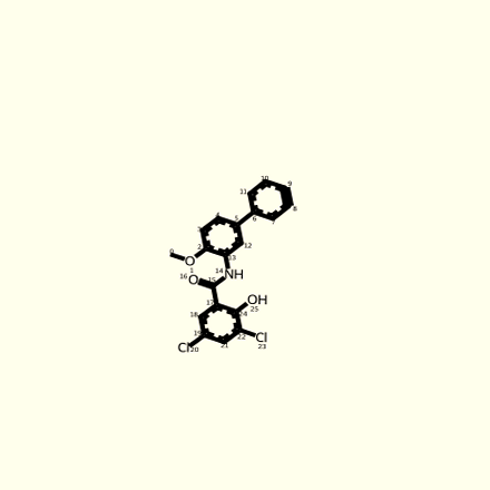 COc1ccc(-c2cc#ccc2)cc1NC(=O)c1cc(Cl)cc(Cl)c1O